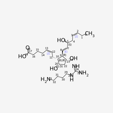 CC/C=C\C[C@H](O)/C=C/[C@@H]1[C@@H](C/C=C\CCCC(=O)O)[C@@H](O)C[C@H]1O.N=C(N)NCCCCN